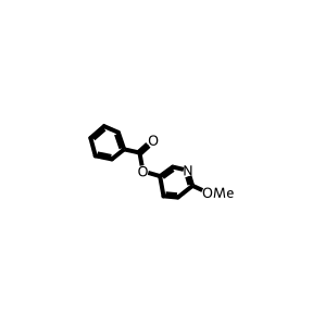 COc1ccc(OC(=O)c2ccccc2)cn1